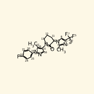 Cc1nc(C(F)(F)F)cn1C1CCCN(c2cnn(-c3ccc(F)cc3)c2C)C1=O